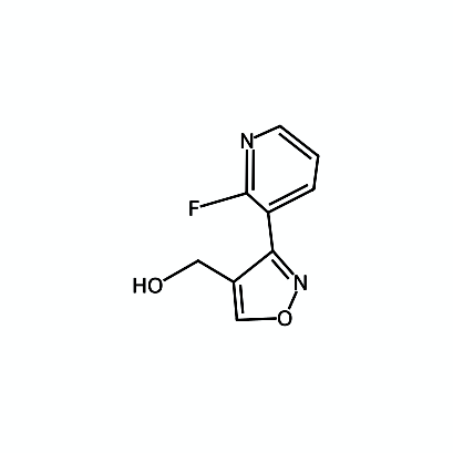 OCc1conc1-c1cccnc1F